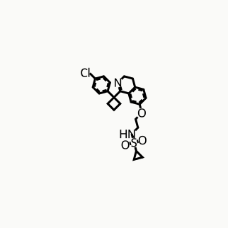 O=S(=O)(NCCOc1ccc2c(c1)C(C1(c3ccc(Cl)cc3)CCC1)=NCC2)C1CC1